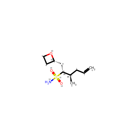 C=CC[C@@H](C)[C@@H](C[C@@H]1CCO1)S(N)(=O)=O